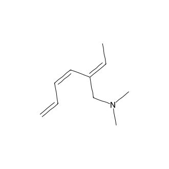 C=C/C=C\C(=C/C)CN(C)C